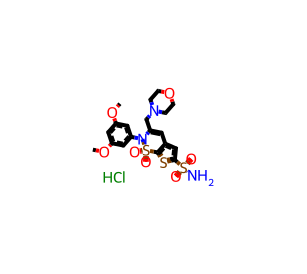 COc1cc(OC)cc(N2C(CN3CCOCC3)=Cc3cc(S(N)(=O)=O)sc3S2(=O)=O)c1.Cl